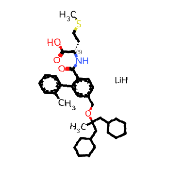 CSCC[C@H](NC(=O)c1ccc(COC(C)(CC2CCCCC2)CC2CCCCC2)cc1-c1ccccc1C)C(=O)O.[LiH]